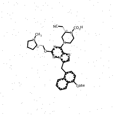 COc1ccc(Cc2cnc3c(N4CCN(C(=O)O)[C@@H](CC#N)C4)nc(OC[C@@H]4CCCN4C)nn23)c2ccccc12